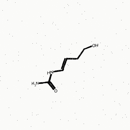 NC(=O)NC=CCCO